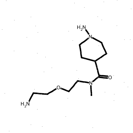 CN(CCOCCN)C(=O)C1CCN(N)CC1